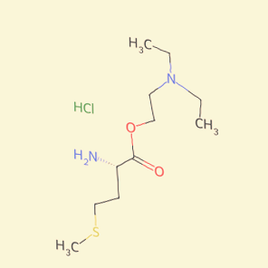 CCN(CC)CCOC(=O)[C@@H](N)CCSC.Cl